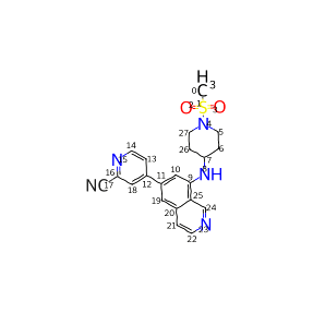 CS(=O)(=O)N1CCC(Nc2cc(-c3ccnc(C#N)c3)cc3ccncc23)CC1